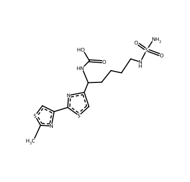 Cc1nc(-c2nc(C(CCCCNS(N)(=O)=O)NC(=O)O)cs2)cs1